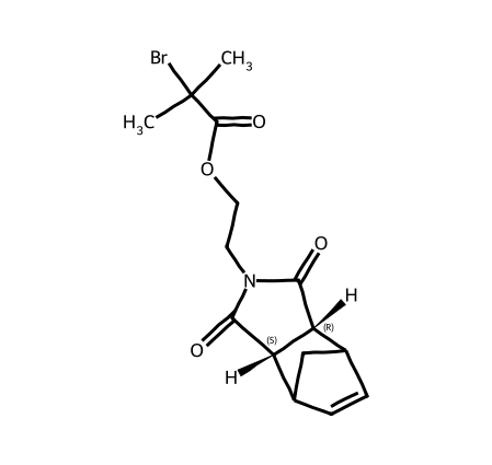 CC(C)(Br)C(=O)OCCN1C(=O)[C@@H]2C3C=CC(C3)[C@@H]2C1=O